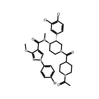 COc1nn(-c2ccc(Br)cc2)cc1C(=O)N(C)[C@@H]1CCN(C(=O)C2CCN(C(C)=O)CC2)C[C@H]1c1ccc(Cl)c(Cl)c1